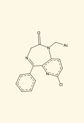 CC(=O)CN1C(=O)CN=C(c2ccccc2)c2nc(Cl)ccc21